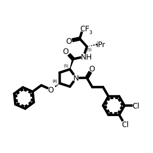 CC(C)[C@H](NC(=O)[C@@H]1C[C@@H](OCc2ccccc2)CN1C(=O)CCc1ccc(Cl)c(Cl)c1)C(=O)C(F)(F)F